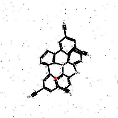 N#Cc1cc(C#N)cc(-c2cccc(-c3cc(C#N)cc(C#N)c3)c2N2c3ccccc3Oc3ccccc32)c1